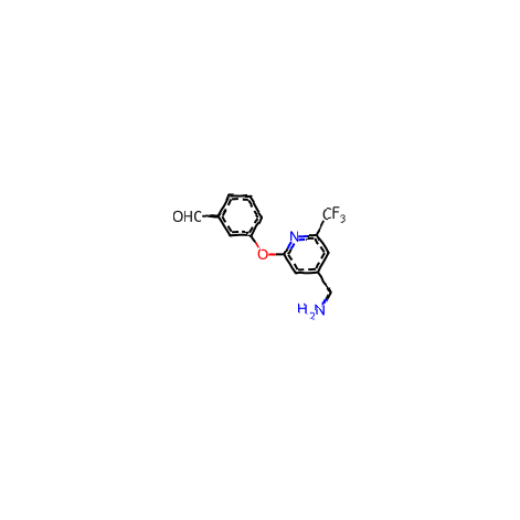 NCc1cc(Oc2cccc(C=O)c2)nc(C(F)(F)F)c1